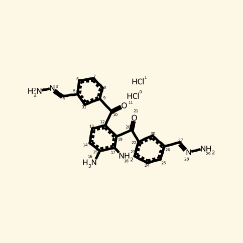 Cl.Cl.NN=Cc1cccc(C(=O)c2ccc(N)c(N)c2C(=O)c2cccc(C=NN)c2)c1